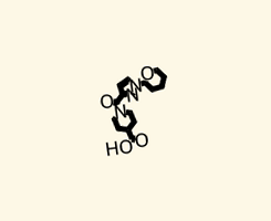 O=C(O)C1CCN(C(=O)c2ccn(C3CCCCO3)n2)CC1